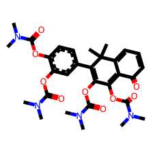 CN(C)C(=O)OC1=C2C(=O)C=CC=C2C(C)(C)C(c2ccc(OC(=O)N(C)C)c(OC(=O)N(C)C)c2)=C1OC(=O)N(C)C